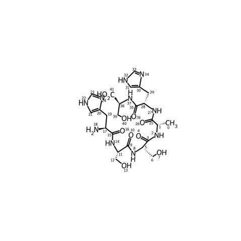 C[C@H](NC(=O)[C@H](CO)NC(=O)[C@H](CO)NC(=O)[C@@H](N)Cc1c[nH]cn1)C(=O)N[C@@H](Cc1c[nH]cn1)C(=O)N[C@@H](CO)C(=O)O